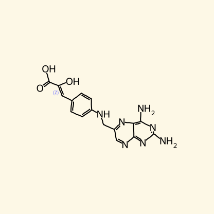 Nc1nc(N)c2nc(CNc3ccc(/C=C(\O)C(=O)O)cc3)cnc2n1